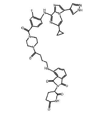 O=C1CCC(N2C(=O)c3cccc(NCCCC(=O)N4CCN(C(=O)c5ccc(Nc6nc(C7CC7)cn7c(-c8cn[nH]c8)cnc67)c(F)c5)CC4)c3C2=O)C(=O)N1